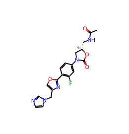 CC(=O)NC[C@H]1CN(c2ccc(-c3nc(Cn4ccnc4)co3)c(F)c2)C(=O)O1